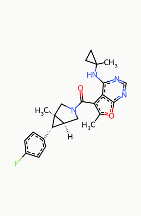 Cc1oc2ncnc(NC3(C)CC3)c2c1C(=O)N1C[C@H]2[C@H](c3ccc(F)cc3)[C@@]2(C)C1